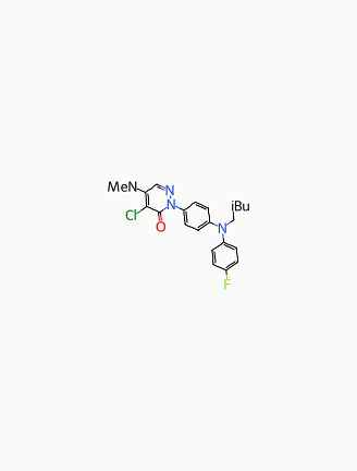 CCC(C)CN(c1ccc(F)cc1)c1ccc(-n2ncc(NC)c(Cl)c2=O)cc1